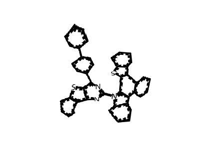 c1ccc(-c2ccc(-c3nc(-n4c5ccccc5c5c6ccccc6c6c7ccccc7sc6c54)nc4c3sc3ccccc34)cc2)cc1